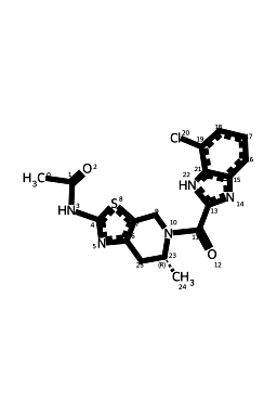 CC(=O)Nc1nc2c(s1)CN(C(=O)c1nc3cccc(Cl)c3[nH]1)[C@H](C)C2